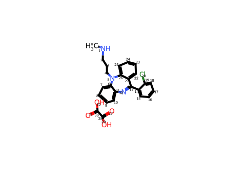 CNCCCN1c2ccccc2N=C(c2ccccc2Cl)c2ccccc21.O=C(O)C(=O)O